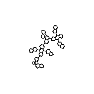 c1ccc2cc(-c3c4ccccc4c(-c4ccc5ccccc5c4)c4cc(-c5cc6c7ccccc7oc6c6cc(-c7ccc8c(-c9ccc%10ccccc%10c9)c9cc(-c%10ccc%11oc%12ccc%13ccccc%13c%12c%11c%10)ccc9c(-c9ccc%10ccccc%10c9)c8c7)ccc56)ccc34)ccc2c1